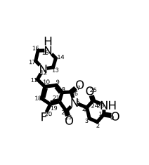 O=C1CCC(N2C(=O)c3cc(CN4CCNCC4)cc(F)c3C2=O)C(=O)N1